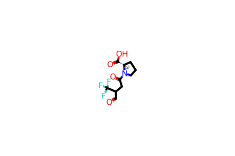 O=CC(CC(=O)N1CCC[C@H]1C(=O)O)C(F)(F)F